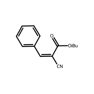 CC(C)COC(=O)/C(C#N)=C\c1ccccc1